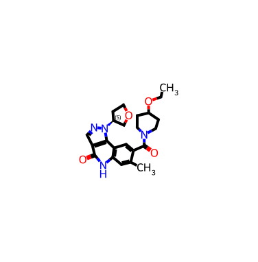 CCOC1CCN(C(=O)c2cc3c(cc2C)[nH]c(=O)c2cnn([C@H]4CCOC4)c23)CC1